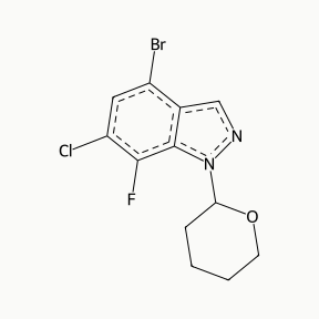 Fc1c(Cl)cc(Br)c2cnn(C3CCCCO3)c12